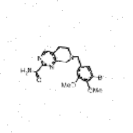 COc1cc(CN2CCc3[c]nc(C(N)=O)nc3C2)cc(Br)c1OC